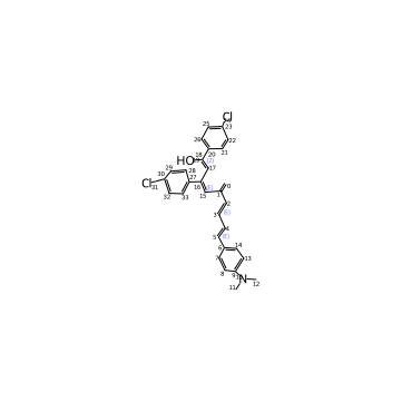 C=C(/C=C/C=C/c1ccc(N(C)C)cc1)/C=C(\C=C(/O)c1ccc(Cl)cc1)c1ccc(Cl)cc1